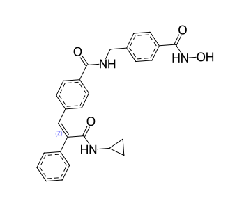 O=C(NC1CC1)/C(=C\c1ccc(C(=O)NCc2ccc(C(=O)NO)cc2)cc1)c1ccccc1